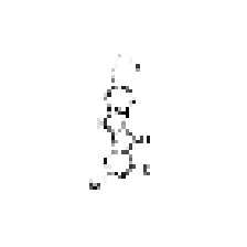 CCc1ccn2c(c1)nc1c3cc(Br)cc(Br)c3[nH]c12